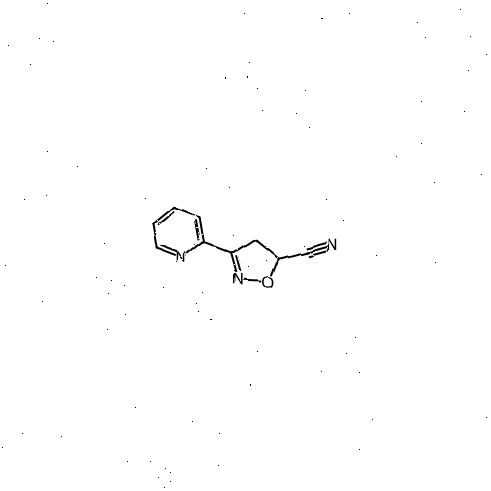 N#CC1CC(c2ccccn2)=NO1